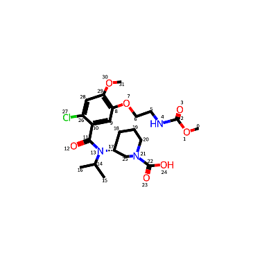 COC(=O)NCCOc1cc(C(=O)N(C(C)C)[C@@H]2CCCN(C(=O)O)C2)c(Cl)cc1OC